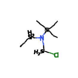 C[SiH2]N([SiH2]Cl)[Si](C)(C)C